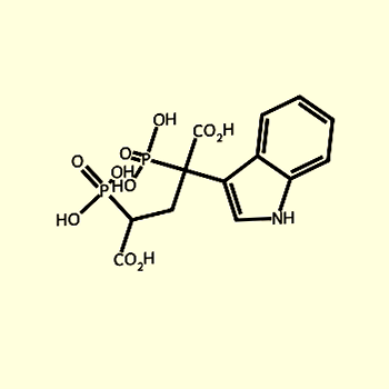 O=C(O)C(CC(C(=O)O)(c1c[nH]c2ccccc12)P(=O)(O)O)P(=O)(O)O